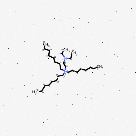 CCCCCCCC[N+](CCCCCCCC)(CCCCCCCC)CCN(CC)CC